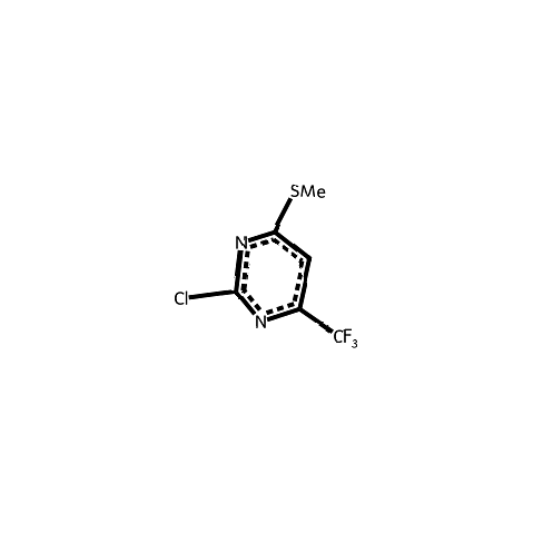 CSc1cc(C(F)(F)F)nc(Cl)n1